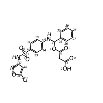 O=C(O)CC(=O)OC(Nc1ccc(S(=O)(=O)Nc2cc(Cl)on2)cc1)c1ccccc1